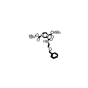 CC(C)(C)OC(=O)N1CCN(C(=O)OC(C)(C)C)[C@@H](C(=O)NCCOCc2ccccc2)C1